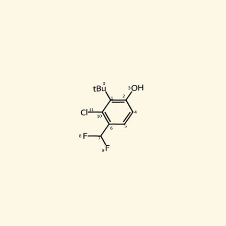 CC(C)(C)c1c(O)ccc(C(F)F)c1Cl